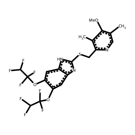 COc1c(C)cnc(CSc2nc3cc(OC(F)(F)C(F)F)c(OC(F)(F)C(F)F)cc3[nH]2)c1C